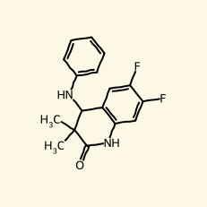 CC1(C)C(=O)Nc2cc(F)c(F)cc2C1Nc1ccccc1